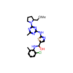 COCC1CCCN1c1nc(C)nc(Nc2ncc(C(O)Nc3c(C)cccc3Cl)s2)n1